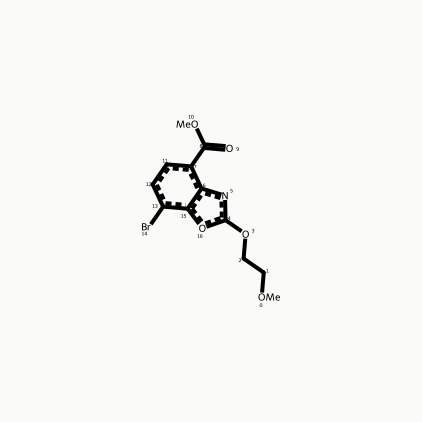 COCCOc1nc2c(C(=O)OC)ccc(Br)c2o1